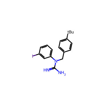 CC(C)(C)c1ccc(CN(C(=N)N)c2cccc(I)c2)cc1